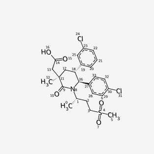 C[C@@H](CCS(C)(=O)=O)N1C(=O)[C@@](C)(CC(=O)O)C[C@H](c2cccc(Cl)c2)[C@H]1c1ccc(Cl)cc1